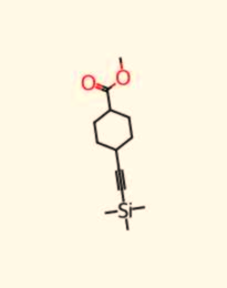 COC(=O)C1CCC(C#C[Si](C)(C)C)CC1